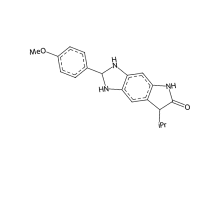 COc1ccc(C2Nc3cc4c(cc3N2)C(C(C)C)C(=O)N4)cc1